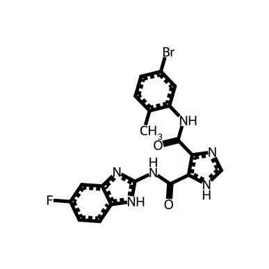 Cc1ccc(Br)cc1NC(=O)c1nc[nH]c1C(=O)Nc1nc2cc(F)ccc2[nH]1